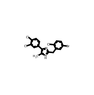 Cc1[nH]c(Cc2cc(Br)ccc2Cl)nc1-c1ccc(Cl)c(Cl)c1